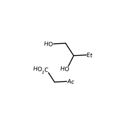 CC(=O)CC(=O)O.CCC(O)CO